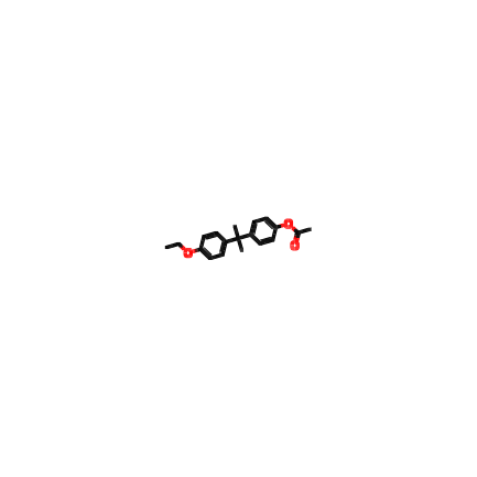 CCOc1ccc(C(C)(C)c2ccc(OC(C)=O)cc2)cc1